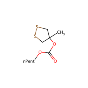 CCCCCOC(=O)OC1(C)CSSC1